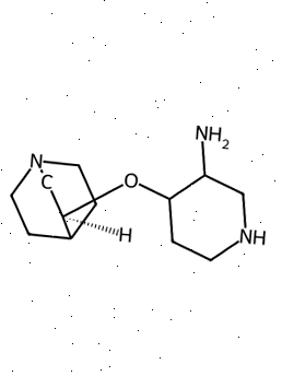 NC1CNCCC1O[C@@H]1CN2CCC1CC2